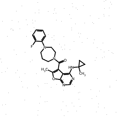 Cc1oc2ncnc(NC3(C)CC3)c2c1C(=O)N1CCCN(c2ccccc2F)CC1